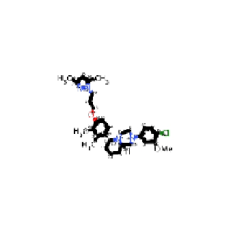 COc1cc(N2CCN3[C@@H](CCC[C@@H]3c3ccc(OCCCn4nc(C)cc4C)c(C)c3C)C2)ccc1Cl